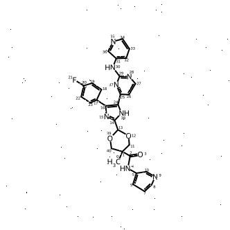 CC1(C(=O)Nc2cccnc2)COC(c2nc(-c3ccc(F)cc3)c(-c3ccnc(Nc4cccnc4)n3)[nH]2)OC1